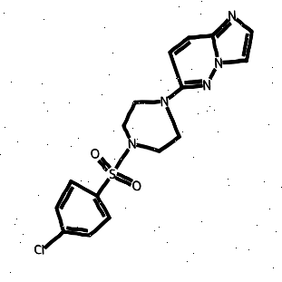 O=S(=O)(c1ccc(Cl)cc1)N1CCN(c2ccc3nccn3n2)CC1